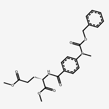 COC(=O)CC[C@H](NC(=O)c1ccc(N(C)C(=O)OCc2ccccc2)cc1)C(=O)OC